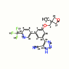 CC1(COc2cc(-c3ccc(C(F)(F)F)nc3)cc(-c3nn[nH]c3C#N)c2)COC1